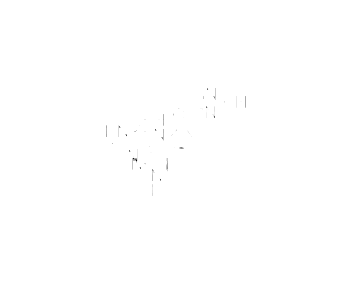 Cc1noc(C2Oc3c(Nc4c(C(N)=O)nnc5[nH]ccc45)cccc32)n1